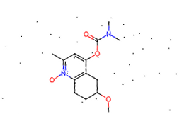 COC1CCc2c(c(OC(=O)N(C)C)cc(C)[n+]2[O-])C1